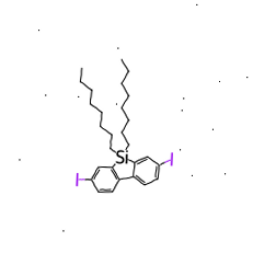 CCCCCCCC[Si]1(CCCCCCCC)c2cc(I)ccc2-c2ccc(I)cc21